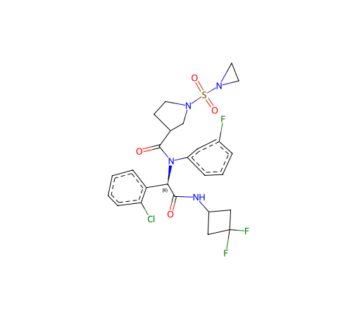 O=C(NC1CC(F)(F)C1)[C@@H](c1ccccc1Cl)N(C(=O)C1CCN(S(=O)(=O)N2CC2)C1)c1cccc(F)c1